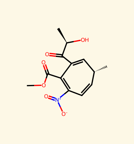 COC(=O)C1=C([N+](=O)[O-])C=C[C@@H](C)C=C1C(=O)[C@@H](C)O